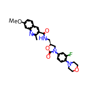 COc1ccc2cc(C(=O)NC[C@H]3CN(c4ccc(N5CCOCC5)c(F)c4)C(=O)O3)c(C)nc2c1